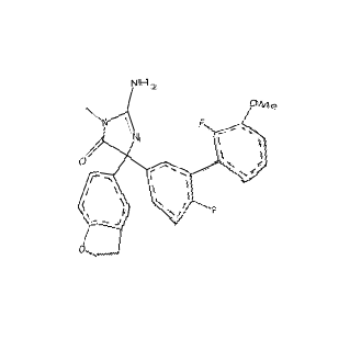 COc1cccc(-c2cc(C3(c4ccc5c(c4)CCO5)N=C(N)N(C)C3=O)ccc2F)c1F